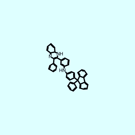 C1=CC2=NC(c3ccccc3)=C(c3cccc(Nc4ccc(C5(c6ccccc6)c6ccccc6-c6ccccc65)cc4)c3)NC2C=C1